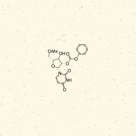 COC[C@H]1O[C@@H](n2ccc(=O)[nH]c2=O)[C@@H](OC(=O)Oc2ccccc2)C1O